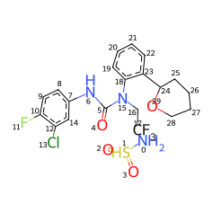 N[SH](=O)=O.O=C(Nc1ccc(F)c(Cl)c1)N(CC(F)(F)F)c1ccccc1C1CCCCO1